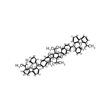 CC(C)c1cccc2c1oc1c(N(c3ccccc3)c3ccc4cc5c(cc4c3)oc3c(C(C)C)c4c(oc6cc7cc(N(c8ccccc8)c8cccc9c8oc8c(C(C)C)cccc89)ccc7cc64)c(C(C)C)c35)cccc12